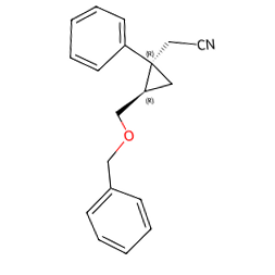 N#CC[C@]1(c2ccccc2)C[C@H]1COCc1ccccc1